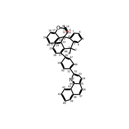 CC1(C)c2ccccc2C2(c3ccccc3Oc3ccccc32)c2cccc(-c3ccc(-c4ccc5ccc6ccccc6c5n4)cc3)c21